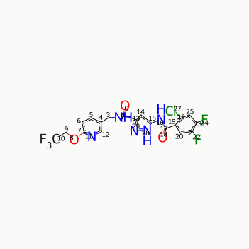 O=C(NCc1ccc(OCC(F)(F)F)nc1)c1cc(NC(=O)c2cc(F)c(F)cc2Cl)[nH]n1